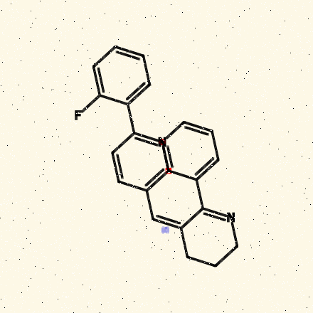 Fc1ccccc1-c1ccc(/C=C2/CCCN=C2c2cccnc2)cc1